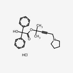 CC(C)(C#CCN1CCCC1)OC(=O)C(O)(c1ccccc1)c1ccccc1.Cl